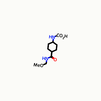 COCNC(=O)C1CCC(NC(=O)O)CC1